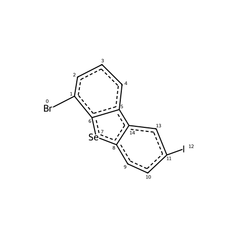 Brc1cccc2c1[se]c1ccc(I)cc12